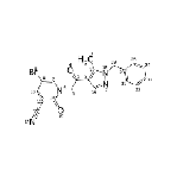 Cc1c(C(=O)Cn2cc(Br)cc(C#N)c2=O)cnn1Cc1ccccc1